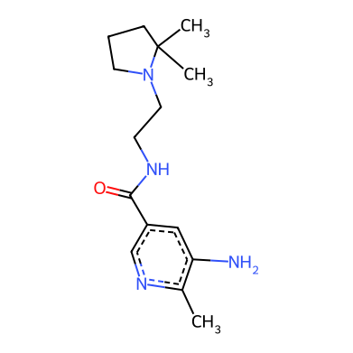 Cc1ncc(C(=O)NCCN2CCCC2(C)C)cc1N